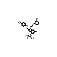 Cc1ccc2nc(COc3ccc(Cl)cc3)n(CCCC3CCCNC3)c2c1.O=C(O)C(F)(F)F